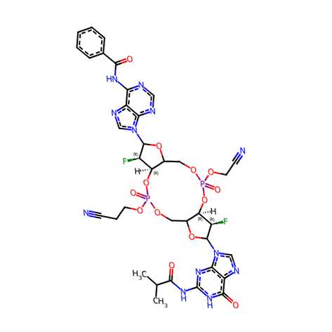 CC(C)C(=O)Nc1nc2c(ncn2C2OC3COP(=O)(OCCC#N)O[C@@H]4C(COP(=O)(OCC#N)O[C@H]3[C@H]2F)OC(n2cnc3c(NC(=O)c5ccccc5)ncnc32)[C@@H]4F)c(=O)[nH]1